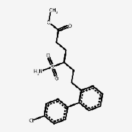 COC(=O)CCC(CCc1ccccc1-c1ccc(Cl)cc1)S(N)(=O)=O